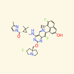 CCc1c(F)ccc2cc(O)cc(-c3ncc4c(NC[C@@H]5[C@H](C(=O)n6ccc(C)n6)C5(C)C)nc(OC[C@@]56CCCN5C[C@H](F)C6)nc4c3F)c12